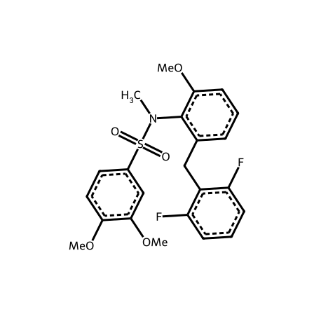 COc1ccc(S(=O)(=O)N(C)c2c(Cc3c(F)cccc3F)cccc2OC)cc1OC